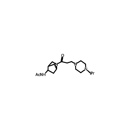 CC(=O)NC1CC2CC1CN2C(=O)CCN1CCN(C(C)C)CC1